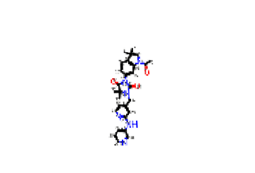 CC(=O)N1CC(C)(C)c2ccc(N3C(=O)N(Cc4ccnc(Nc5cccnc5)c4)C(C)(C)C3=O)cc21